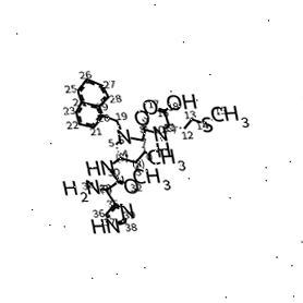 CC[C@H](C)[C@@H](CN(CC(=O)N[C@@H](CCSC)C(=O)O)Cc1cccc2ccccc12)NC(=O)[C@H](N)c1c[nH]cn1